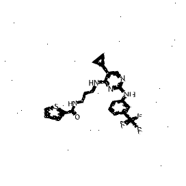 O=C(NCCCNc1nc(Nc2cccc(C(F)(F)F)c2)ncc1C1CC1)c1cccs1